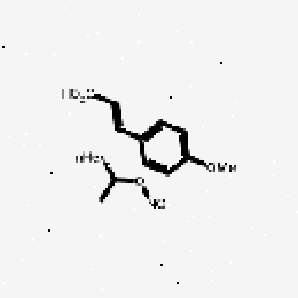 CCCCCCC(C)ON=O.COc1ccc(C=CC(=O)O)cc1